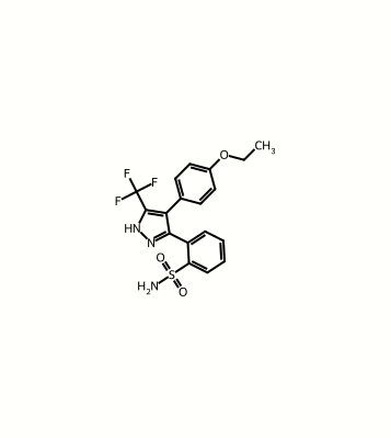 CCOc1ccc(-c2c(-c3ccccc3S(N)(=O)=O)n[nH]c2C(F)(F)F)cc1